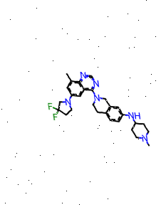 Cc1cc(N2CCC(F)(F)C2)cc2c(N3CCc4ccc(NC5CCN(C)CC5)cc4C3)ncnc12